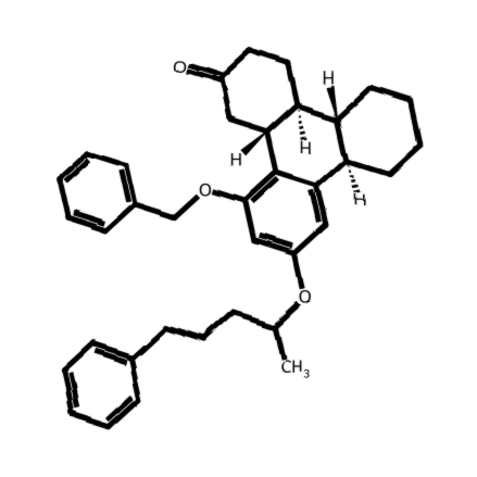 CC(CCCc1ccccc1)Oc1cc(OCc2ccccc2)c2c(c1)[C@@H]1CCCC[C@H]1[C@@H]1CCC(=O)C[C@@H]21